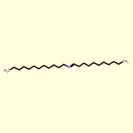 CCCCCCCCCCC=NCCCCCCCCCCCC